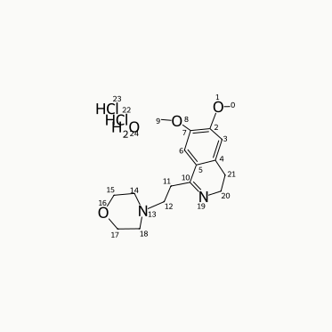 COc1cc2c(cc1OC)C(CCN1CCOCC1)=NCC2.Cl.Cl.O